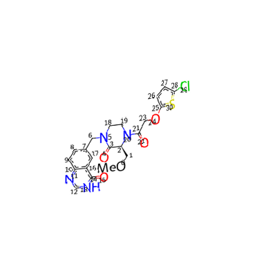 COC[C@H]1C(=O)N(Cc2ccc3nc[nH]c(=O)c3c2)CCN1C(=O)COc1ccc(Cl)s1